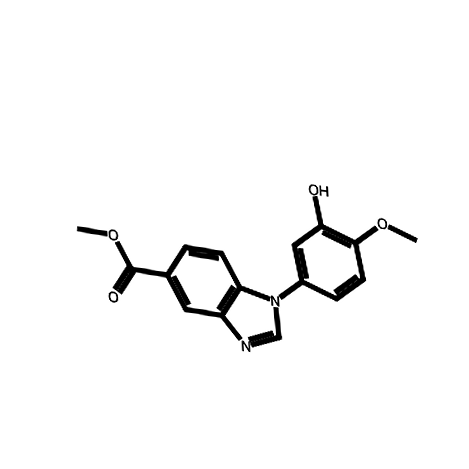 COC(=O)c1ccc2c(c1)ncn2-c1ccc(OC)c(O)c1